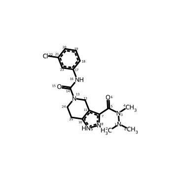 CN(C)N(C)C(=O)c1n[nH]c2c1CN(C(=O)Nc1cccc(Cl)c1)CC2